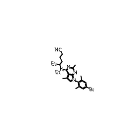 CCC(CCCC#N)N(CC)c1nc(C)nc2c1c(C)cn2-c1c(C)cc(Br)cc1C